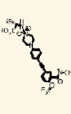 CCC(C)[C@@H](NS(=O)(=O)N1CCN(c2ccc(C#Cc3ccc(OC(F)(F)F)c(C(=O)N(C)C#N)c3)cc2)CC1)C(=O)O